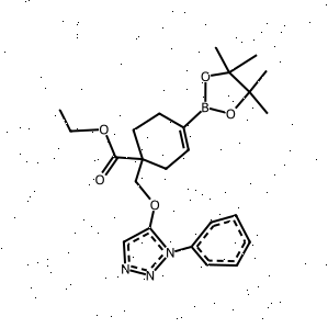 CCOC(=O)C1(COc2cnnn2-c2ccccc2)CC=C(B2OC(C)(C)C(C)(C)O2)CC1